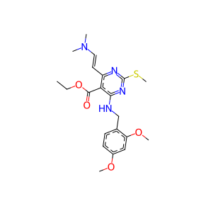 CCOC(=O)c1c(C=CN(C)C)nc(SC)nc1NCc1ccc(OC)cc1OC